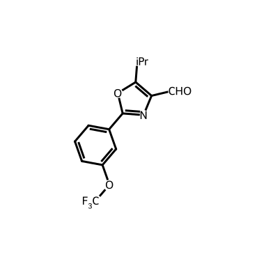 CC(C)c1oc(-c2cccc(OC(F)(F)F)c2)nc1C=O